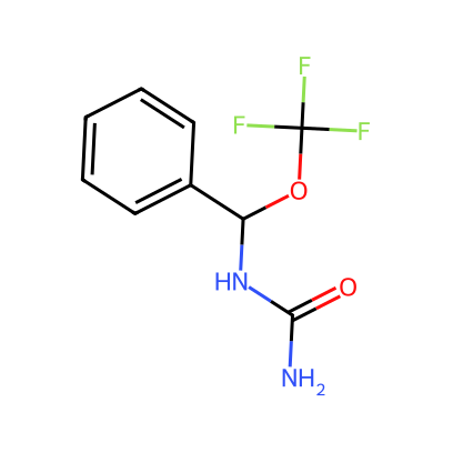 NC(=O)NC(OC(F)(F)F)c1ccccc1